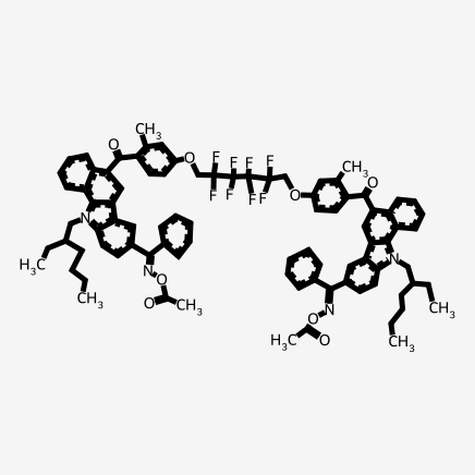 CCCCC(CC)Cn1c2ccc(/C(=N/OC(C)=O)c3ccccc3)cc2c2cc(C(=O)c3ccc(OCC(F)(F)C(F)(F)C(F)(F)C(F)(F)COc4ccc(C(=O)c5cc6c7cc(/C(=N/OC(C)=O)c8ccccc8)ccc7n(CC(CC)CCCC)c6c6ccccc56)c(C)c4)cc3C)c3ccccc3c21